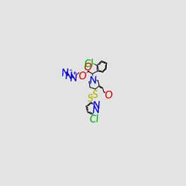 [N-]=[N+]=NCOC(=O)C(c1ccccc1Cl)N1CCC(SSc2ccc(Cl)nn2)/C(=C\C=O)C1